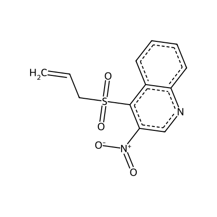 C=CCS(=O)(=O)c1c([N+](=O)[O-])cnc2ccccc12